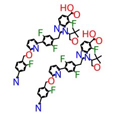 CC1(C)COCC1n1c(Cc2cc(F)c(-c3cccc(OCc4ccc(C#N)cc4F)n3)cc2F)nc2ccc(C(=O)O)c(F)c21.CC1(C)COCC1n1c(Cc2cc(F)c(-c3cccc(OCc4ccc(C#N)cc4F)n3)cc2F)nc2ccc(C(=O)O)c(F)c21